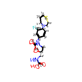 O=C(O)NC[C@H]1CN(c2ccc(N3CCCSCC3)c(F)c2)C(=O)O1